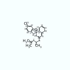 CC(CN(C)C)CN1C=C2CC=CC=C2C2(Cc3ccc(Cl)cc3O2)C1